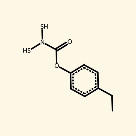 CCc1ccc(OC(=O)N(S)S)cc1